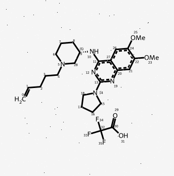 C=CCCCN1CCC[C@H](Nc2nc(N3CCCC3)nc3cc(OC)c(OC)cc23)C1.O=C(O)C(F)(F)F